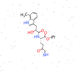 Cc1cccc2c(C[C@H](O)C(=O)N[C@@H](CCC(=O)C=N)C(=O)OC(C)C)c[nH]c12